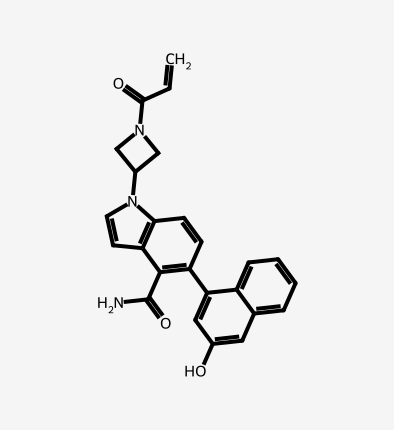 C=CC(=O)N1CC(n2ccc3c(C(N)=O)c(-c4cc(O)cc5ccccc45)ccc32)C1